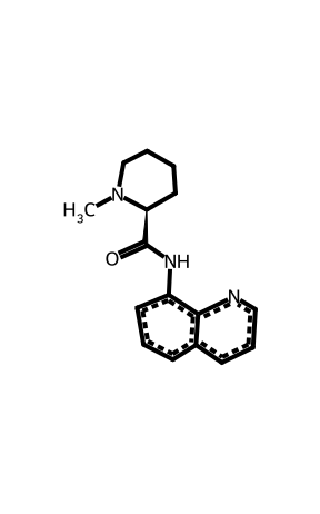 CN1CCCC[C@H]1C(=O)Nc1cccc2cccnc12